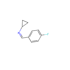 Fc1ccc(/C=N\C2CC2)cc1